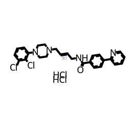 Cl.Cl.O=C(NC/C=C/CN1CCN(c2cccc(Cl)c2Cl)CC1)c1ccc(-c2ccccn2)cc1